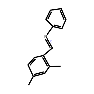 Cc1ccc(/C=N/c2ccccc2)c(C)c1